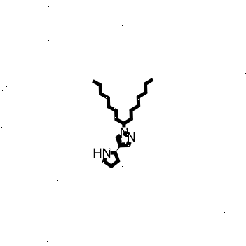 CCCCCCCC(CCCCCCC)n1cc([C@@H]2CCCN2)cn1